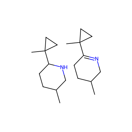 CC1CCC(C2(C)CC2)=NC1.CC1CCC(C2(C)CC2)NC1